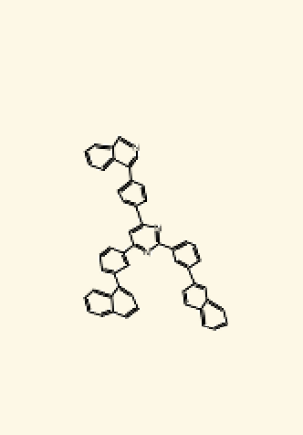 c1cc(-c2ccc3ccccc3c2)cc(-c2nc(-c3ccc(-c4cncc5ccccc45)cc3)cc(-c3cccc(-c4cccc5ccccc45)c3)n2)c1